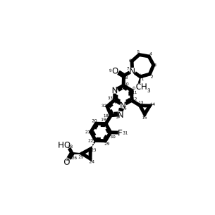 C[C@@H]1CCCCCN1C(=O)c1cc(C2CC2)n2nc(-c3ccc([C@@H]4C[C@H]4C(=O)O)cc3F)cc2n1